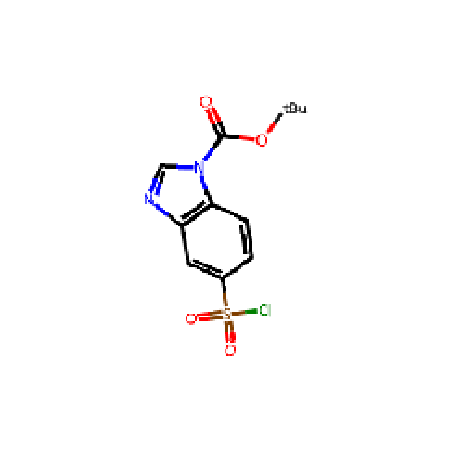 CC(C)(C)OC(=O)n1cnc2cc(S(=O)(=O)Cl)ccc21